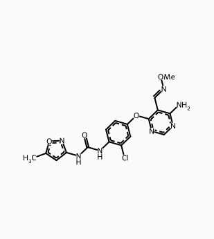 CON=Cc1c(N)ncnc1Oc1ccc(NC(=O)Nc2cc(C)on2)c(Cl)c1